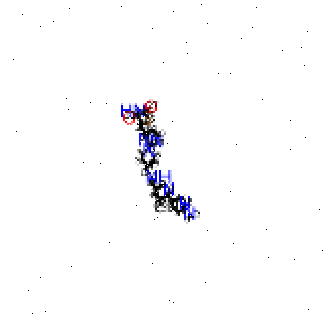 CN(C)c1ccc(-c2ncc(CNCC3CCN(c4nccc(/C=C5\SC(=O)NC5=O)n4)CC3)cc2C#N)cn1